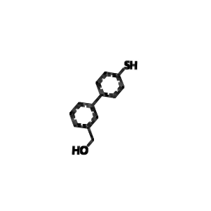 OCc1cccc(-c2ccc(S)cc2)c1